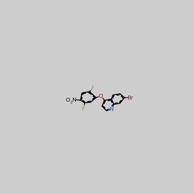 O=[N+]([O-])c1cc(F)c(Oc2ccnc3cc(Br)ccc23)cc1F